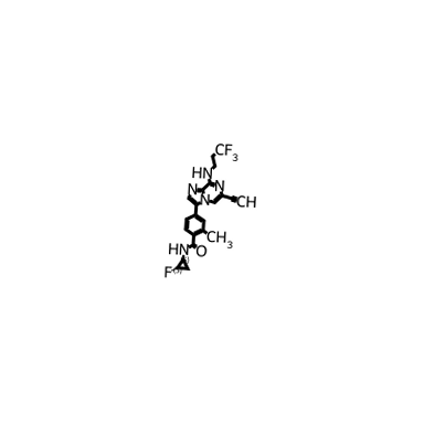 C#Cc1cn2c(-c3ccc(C(=O)N[C@H]4C[C@@H]4F)c(C)c3)cnc2c(NCCC(F)(F)F)n1